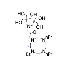 CCCN1CCN(CC)/C=C\N(CC(O)CN2CC(CO)(CO)C(O)C(CO)(CO)C2)CCN(CCC)CC1